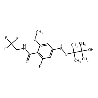 COc1cc(BOC(C)(C)C(C)(C)O)cc(F)c1C(=O)NCC(F)(F)F